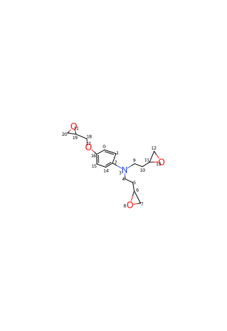 c1cc(N(CCC2CO2)CCC2CO2)ccc1OCC1CO1